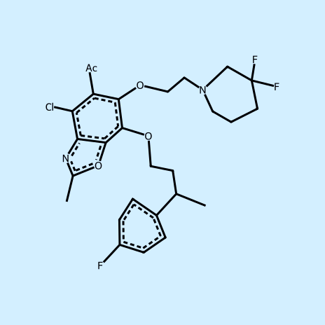 CC(=O)c1c(OCCN2CCCC(F)(F)C2)c(OCCC(C)c2ccc(F)cc2)c2oc(C)nc2c1Cl